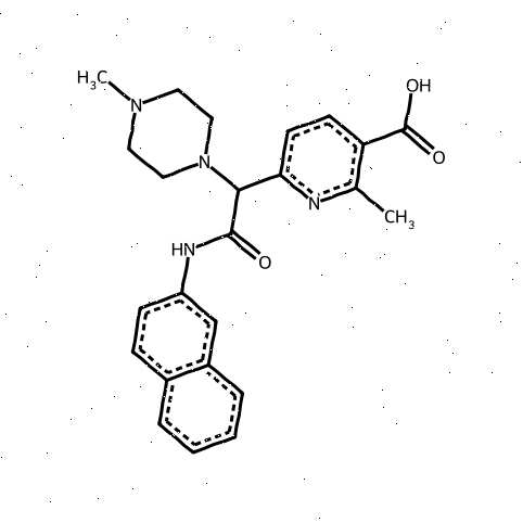 Cc1nc(C(C(=O)Nc2ccc3ccccc3c2)N2CCN(C)CC2)ccc1C(=O)O